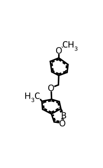 COc1ccc(COc2cc3bocc3cc2C)cc1